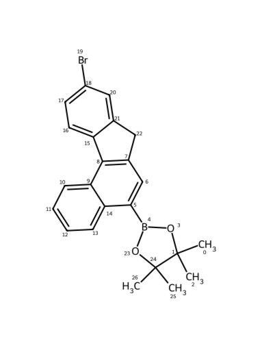 CC1(C)OB(c2cc3c(c4ccccc24)-c2ccc(Br)cc2C3)OC1(C)C